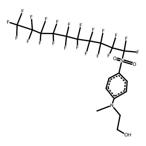 CN(CCO)c1ccc(S(=O)(=O)C(F)(F)C(F)(F)C(F)(F)C(F)(F)C(F)(F)C(F)(F)C(F)(F)C(F)(F)C(F)(F)C(F)(F)F)cc1